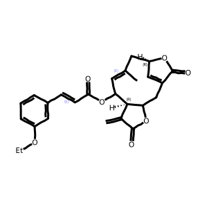 C=C1C(=O)OC2CC3=C[C@@H](C/C(C)=C/C(OC(=O)/C=C/c4cccc(OCC)c4)[C@H]12)OC3=O